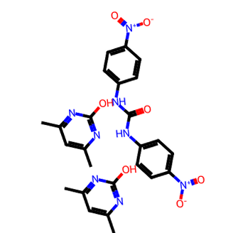 Cc1cc(C)nc(O)n1.Cc1cc(C)nc(O)n1.O=C(Nc1ccc([N+](=O)[O-])cc1)Nc1ccc([N+](=O)[O-])cc1